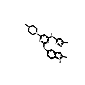 Cc1cc(Nc2cc(N3CCN(C)CC3)nc(Oc3ccc4[nH]c(C)cc4c3)n2)on1